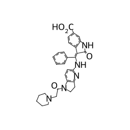 O=C1Nc2cc(C(=O)O)ccc2/C1=C(/Nc1ccc2c(n1)CCN2C(=O)CN1CCCCC1)c1ccccc1